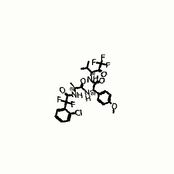 COc1ccc([C@H](NC(=O)[C@H](C)NC(=O)C(F)(F)c2ccccc2Cl)C(=O)N[C@H](C(=O)C(F)(F)F)C(C)C)cc1